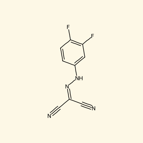 N#CC(C#N)=NNc1ccc(F)c(F)c1